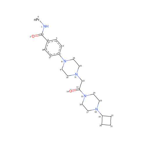 CCCNC(=O)c1ccc(N2CCN(CC(=O)N3CCN(C4CCC4)CC3)CC2)cc1